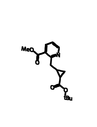 COC(=O)c1cccnc1CC1CC1C(=O)OC(C)(C)C